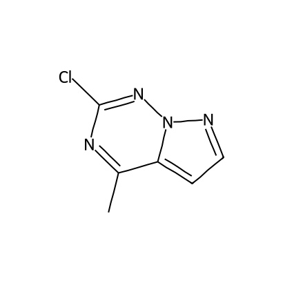 Cc1nc(Cl)nn2nccc12